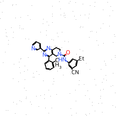 CCc1cc(C#N)cc(NC(=O)N2CCc3nc(-c4cccnc4)nc(-c4ccccc4C)c3C2)c1